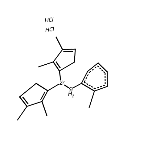 CC1=CC[C]([Zr]([SiH2]c2ccccc2C)[C]2=C(C)C(C)=CC2)=C1C.Cl.Cl